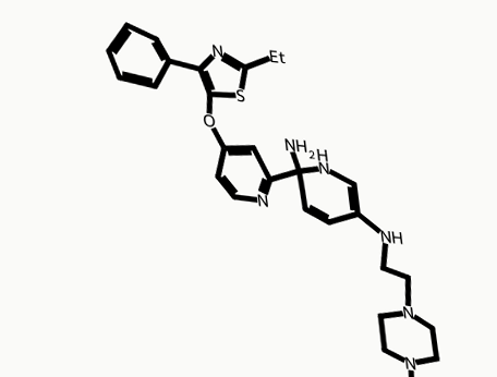 CCc1nc(-c2ccccc2)c(Oc2ccnc(C3(N)C=CC(NCCN4CCN(C(C)C)CC4)=CN3)c2)s1